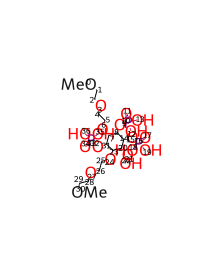 COCCOCCOC1C(OP(=O)(O)O)[C@H](OP(=O)(O)O)[C@H](OO)C(OCCOCCOC)[C@@H]1OP(=O)(O)O